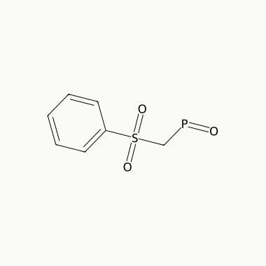 O=PCS(=O)(=O)c1ccccc1